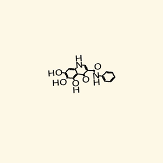 O=C(Nc1ccccc1)c1c[nH]c2cc(O)c(O)c(O)c2c1=O